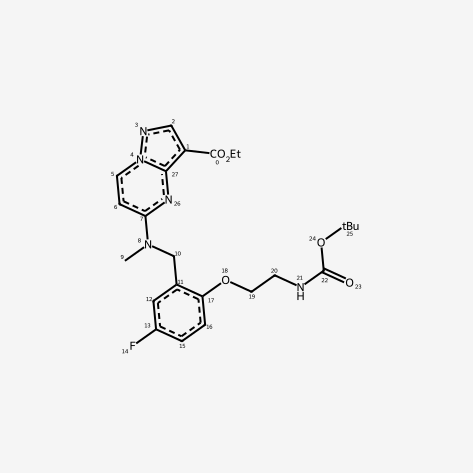 CCOC(=O)c1cnn2ccc(N(C)Cc3cc(F)ccc3OCCNC(=O)OC(C)(C)C)nc12